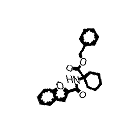 O=C(NC1(C(=O)OCc2ccccc2)CCCCC1)c1cc2ccccc2o1